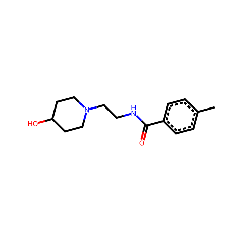 Cc1ccc(C(=O)NCCN2CCC(O)CC2)cc1